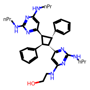 CCCNc1cc([C@H]2[C@H](c3ccccc3)[C@H](c3cc(NCCO)nc(NCCC)n3)[C@H]2c2ccccc2)nc(NCCC)n1